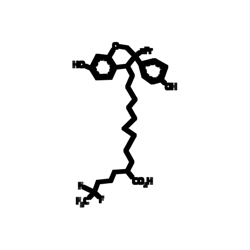 CCCC1(c2ccc(O)cc2)COc2cc(O)ccc2C1CCCCCCCCCC(CCCC(F)(F)C(F)(F)F)C(=O)O